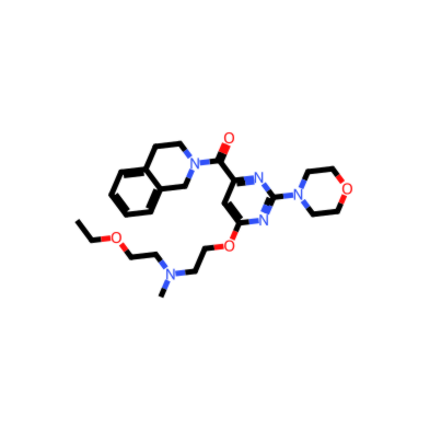 CCOCCN(C)CCOc1cc(C(=O)N2CCc3ccccc3C2)nc(N2CCOCC2)n1